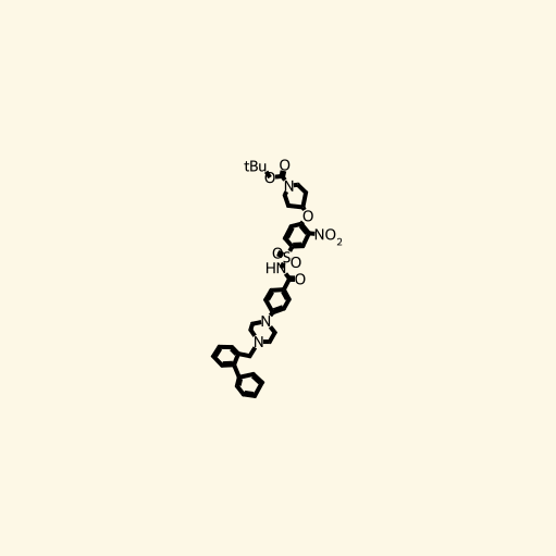 CC(C)(C)OC(=O)N1CCC(Oc2ccc(S(=O)(=O)NC(=O)c3ccc(N4CCN(Cc5ccccc5-c5ccccc5)CC4)cc3)cc2[N+](=O)[O-])CC1